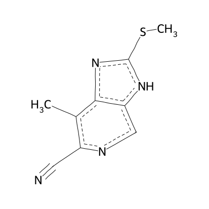 CSc1nc2c(C)c(C#N)ncc2[nH]1